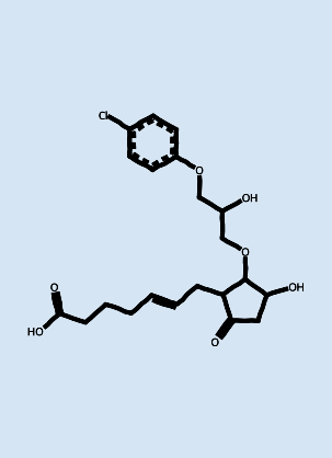 O=C(O)CCCC=CCC1C(=O)CC(O)C1OCC(O)COc1ccc(Cl)cc1